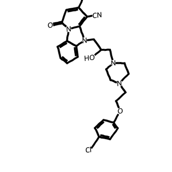 Cc1cc(=O)n2c3ccccc3n(CC(O)CN3CCN(CCOc4ccc(Cl)cc4)CC3)c2c1C#N